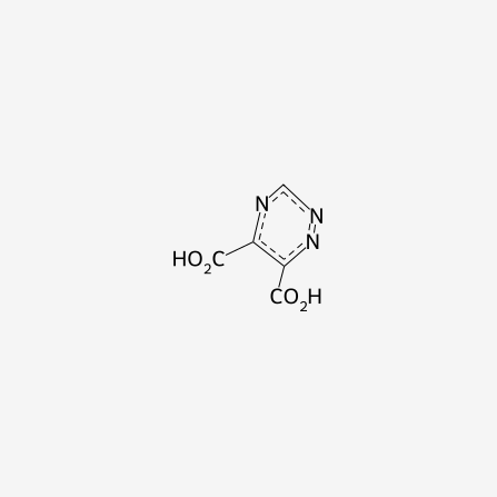 O=C(O)c1ncnnc1C(=O)O